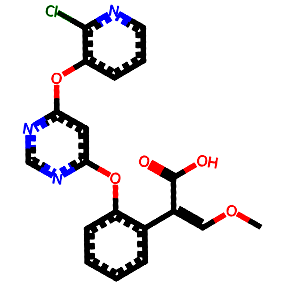 COC=C(C(=O)O)c1ccccc1Oc1cc(Oc2cccnc2Cl)ncn1